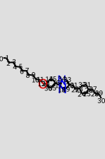 CCCCCCCCCCCCOc1ccc(-c2ncc(CCC3CCC(CCCC)CC3)cn2)cc1